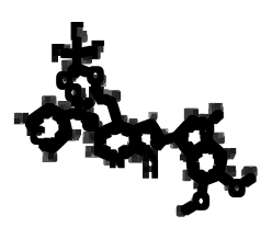 COc1cc2c(-c3cc4c(CN(OC(=O)C(F)(F)F)S(=O)(=O)c5ccccc5)ccnc4[nH]3)cn(C)c2cc1OC